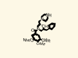 COc1cc(C(=O)N(CCCN2CCNCC2)CC(C)Cc2ccccc2)cc(OC)c1OC